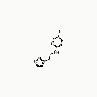 Brc1ccc(NCCn2ccnn2)nc1